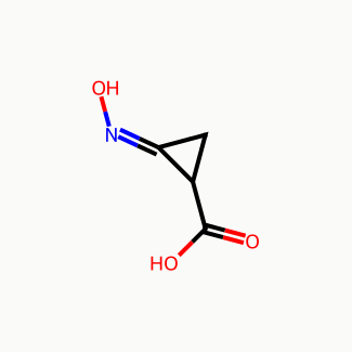 O=C(O)C1CC1=NO